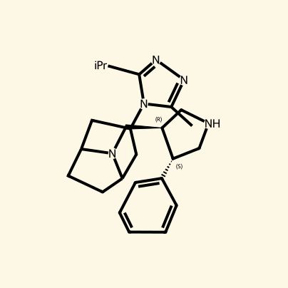 Cc1nnc(C(C)C)n1C1CC2CCC(C1)N2C[C@H]1CNC[C@@H]1c1ccccc1